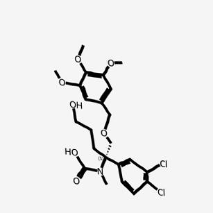 COc1cc(COC[C@](CCCO)(c2ccc(Cl)c(Cl)c2)N(C)C(=O)O)cc(OC)c1OC